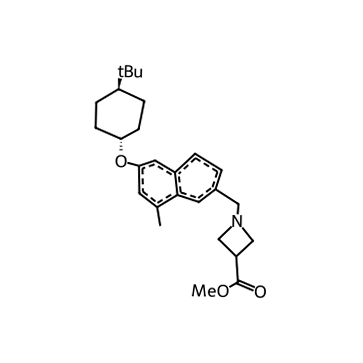 COC(=O)C1CN(Cc2ccc3cc(O[C@H]4CC[C@H](C(C)(C)C)CC4)cc(C)c3c2)C1